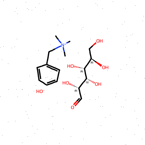 C[N+](C)(C)Cc1ccccc1.O=C[C@H](O)[C@@H](O)[C@H](O)[C@H](O)CO.[OH-]